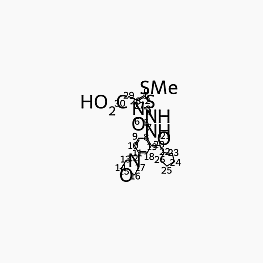 CSc1sc(NC(=O)Nc2ccc(N3CCOCC3)cc2C(=O)C2CCCC2)nc1CC(=O)O